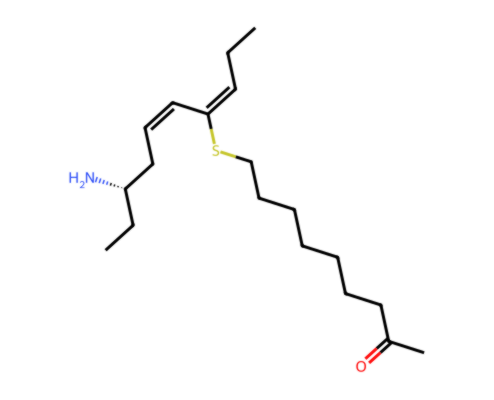 CC/C=C(\C=C/C[C@@H](N)CC)SCCCCCCCC(C)=O